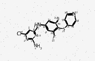 Nc1nc(Cl)cc(Nc2cc(F)c(Sc3ccncc3)c(F)c2)n1